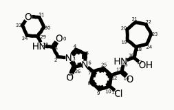 O=C(Cn1ccn(-c2ccc(Cl)c(C(=O)NC(O)C3CCCCCC3)c2)c1=O)NC1CCOCC1